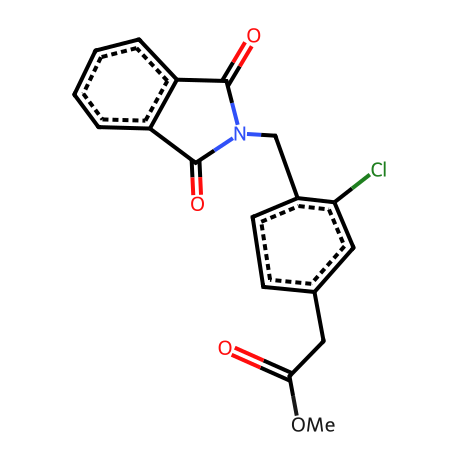 COC(=O)Cc1ccc(CN2C(=O)c3ccccc3C2=O)c(Cl)c1